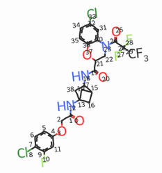 O=C(COc1ccc(Cl)c(F)c1)NC12CC(C1)C(NC(=O)C1CN(C(=O)C(F)(F)C(F)(F)F)c3cc(Cl)ccc3O1)C2